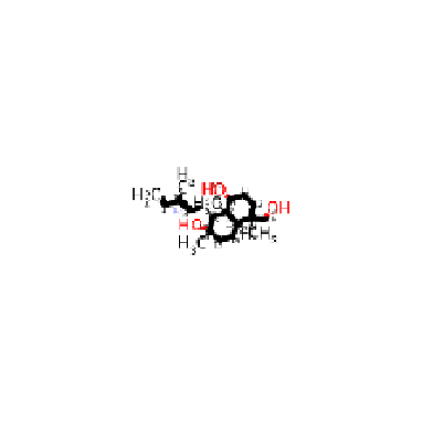 C=C/C(C)=C/C[C@@H]1[C@@]2(C)C(O)CC[C@@](C)(CO)[C@@H]2CC[C@@]1(C)O